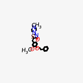 COc1cc(CC2SC(N3CCN(C)CC3)=NC2=O)ccc1OCCc1ccccc1